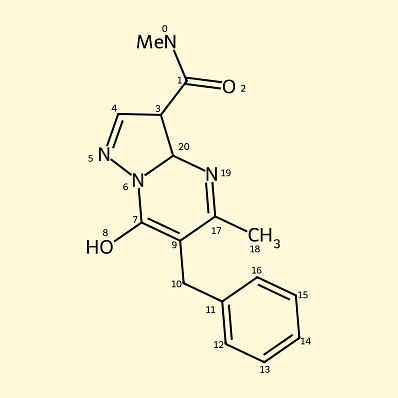 CNC(=O)C1C=NN2C(O)=C(Cc3ccccc3)C(C)=NC12